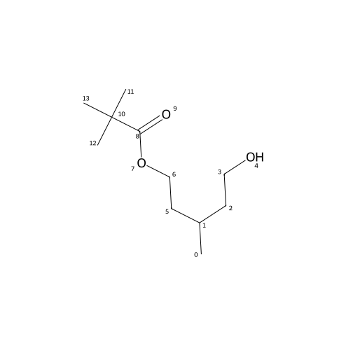 CC(CCO)CCOC(=O)C(C)(C)C